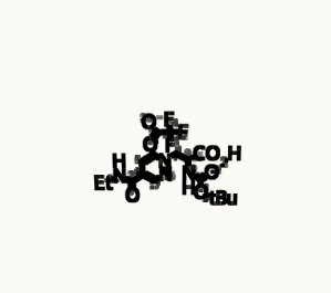 CCNC(=O)c1cc[n+](C[C@H](NC(=O)OC(C)(C)C)C(=O)O)nc1.O=C([O-])C(F)(F)F